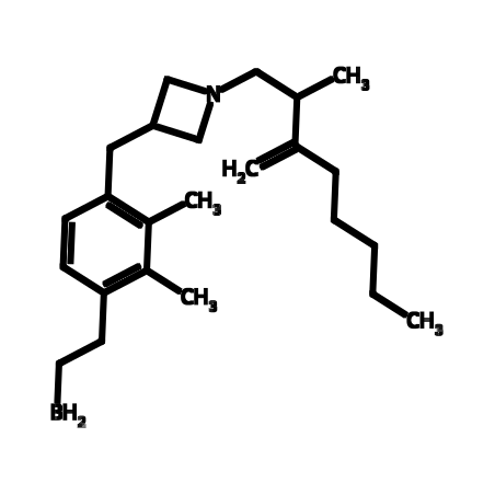 BCCc1ccc(CC2CN(CC(C)C(=C)CCCCC)C2)c(C)c1C